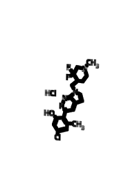 Cc1cc(Cl)cc(O)c1-c1cc2ccn(CC3CCN(C)CC3(F)F)c2nn1.Cl